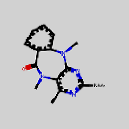 CNc1nc(C)c2c(n1)N(C)c1ccccc1C(=O)N2C